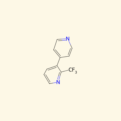 FC(F)(F)c1ncccc1-c1ccncc1